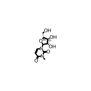 Cn1c(=O)ccn(C2O[C@H](CO)[C@@H](O)[C@@H]2O)c1=O